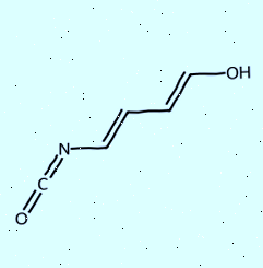 O=C=NC=CC=CO